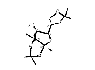 CC1(C)O[C@@H]2O[C@H]([C@@H]3COC(C)(C)O3)[C@H](O)[C@H]2O1